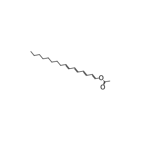 CCCCCCCC/C=C/C=C/C=C/C=C/OC(C)=O